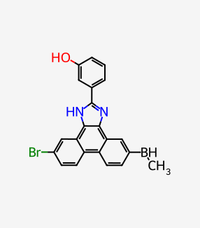 CBc1ccc2c3ccc(Br)cc3c3[nH]c(-c4cccc(O)c4)nc3c2c1